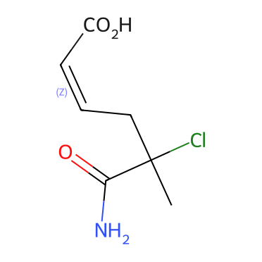 CC(Cl)(C/C=C\C(=O)O)C(N)=O